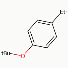 C[CH]c1ccc(OC(C)(C)C)cc1